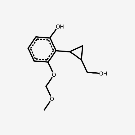 COCOc1cccc(O)c1C1CC1CO